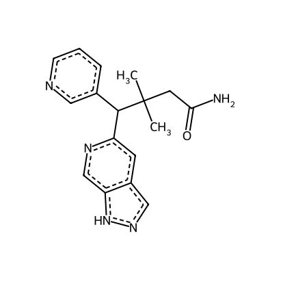 CC(C)(CC(N)=O)C(c1cccnc1)c1cc2cn[nH]c2cn1